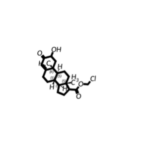 C[C@]12CC(O)C(=O)C=C1CC[C@@H]1[C@@H]2CC[C@]2(C)C(C(=O)OCCl)CC[C@@H]12